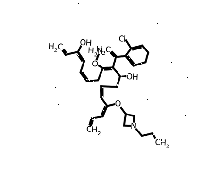 C=C/C=C(\C=C/C[C@H](O)/C(C(=C)C1=CCCC=C1Cl)=C(\C/C=C\C=C(\O)C=C)ON)OC1CN(CCC)C1